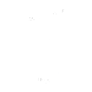 CCOc1ccc(-c2cccc(/C=C\C(=O)O)c2)cc1OC